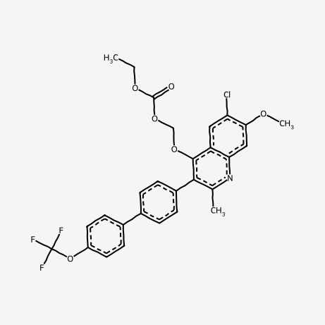 CCOC(=O)OCOc1c(-c2ccc(-c3ccc(OC(F)(F)F)cc3)cc2)c(C)nc2cc(OC)c(Cl)cc12